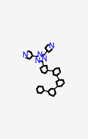 c1ccc(-c2cccc(-c3cccc(-c4cccc(-c5cccc(-c6nc(-c7ccncc7)nc(-c7ccncc7)n6)c5)c4)c3)c2)cc1